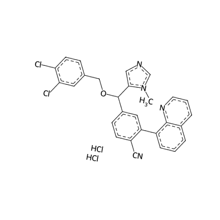 Cl.Cl.Cn1cncc1C(OCc1ccc(Cl)c(Cl)c1)c1ccc(C#N)c(-c2cccc3cccnc23)c1